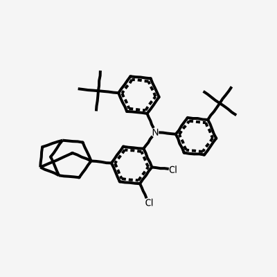 CC(C)(C)c1cccc(N(c2cccc(C(C)(C)C)c2)c2cc(C34CC5CC(C3)C(C5)C4)cc(Cl)c2Cl)c1